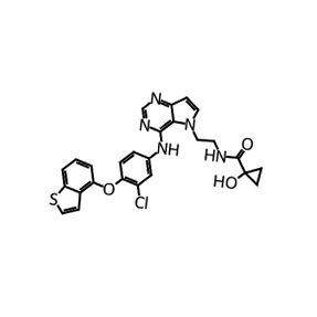 O=C(NCCn1ccc2ncnc(Nc3ccc(Oc4cccc5sccc45)c(Cl)c3)c21)C1(O)CC1